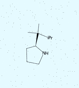 CC(C)C(C)(C)[C@@H]1CCCN1